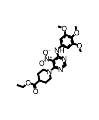 CCOC(=O)C1CCN(c2ncnc(Nc3cc(OC)c(OC)c(OC)c3)c2[N+](=O)[O-])CC1